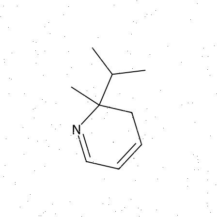 CC(C)C1(C)CC=CC=N1